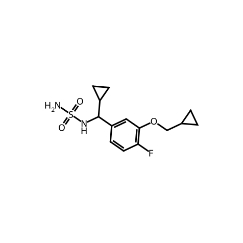 NS(=O)(=O)NC(c1ccc(F)c(OCC2CC2)c1)C1CC1